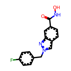 O=C(NO)c1ccc2cn(Cc3ccc(F)cc3)nc2c1